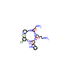 CN1C(=O)C(CCCCN)NC(=O)C(CCCN)NCc2cccnc2Sc2c(Cl)cc(Cl)cc2CNC(=O)C1Cc1c[nH]c2ccccc12